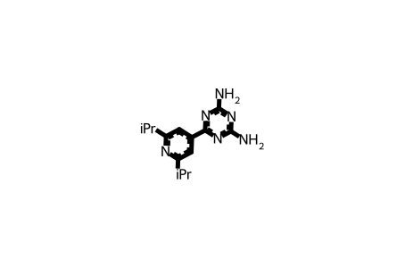 CC(C)c1cc(-c2nc(N)nc(N)n2)cc(C(C)C)n1